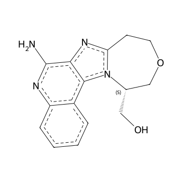 Nc1nc2ccccc2c2c1nc1n2[C@@H](CO)COCC1